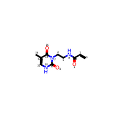 C=CC(=O)NCCn1c(=O)[nH]cc(C)c1=O